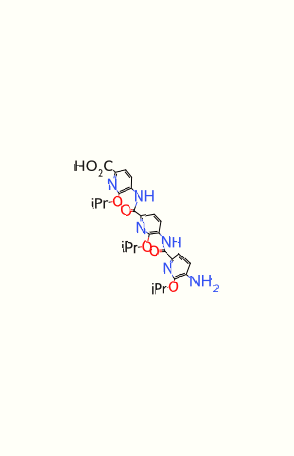 CC(C)Oc1nc(C(=O)Nc2ccc(C(=O)Nc3ccc(C(=O)O)nc3OC(C)C)nc2OC(C)C)ccc1N